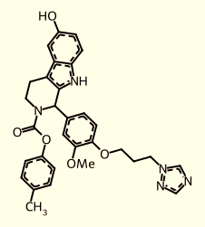 COc1cc(C2c3[nH]c4ccc(O)cc4c3CCN2C(=O)Oc2ccc(C)cc2)ccc1OCCCn1cncn1